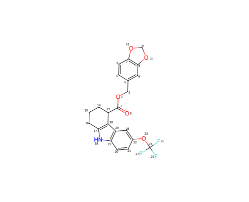 O=C(OCc1ccc2c(c1)OCO2)C1CCCc2[nH]c3ccc(OC(F)(F)F)cc3c21